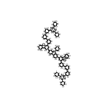 c1ccc(-c2nc(-c3ccccc3)nc(-c3cccc(-c4cccc(-c5cccc(-c6cc(-c7ccc8c9ccc(-c%10cc(-c%11cccc(-c%12cccc(-c%13cccc(-c%14nc(-c%15ccccc%15)nc(-c%15ccccc%15)n%14)c%13)c%12)c%11)c%11oc%12ccccc%12c%11c%10)cc9n(-c9ccccc9)c8c7)cc7c6oc6ccccc67)c5)c4)c3)n2)cc1